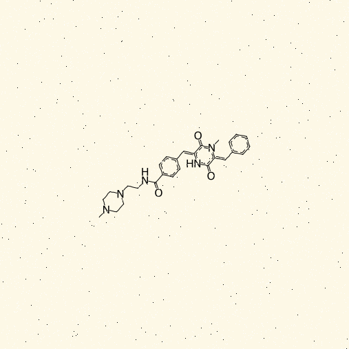 CN1CCN(CCNC(=O)c2ccc(/C=c3\[nH]c(=O)/c(=C/c4ccccc4)n(C)c3=O)cc2)CC1